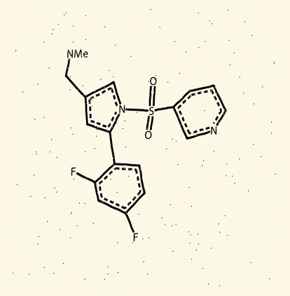 CNCc1cc(-c2ccc(F)cc2F)n(S(=O)(=O)c2cccnc2)c1